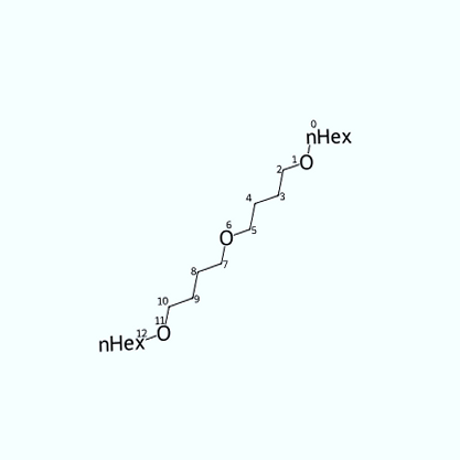 CCCCCCOCCCCOCCCCOCCCCCC